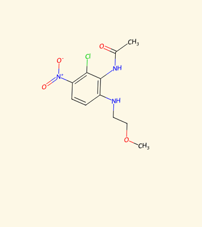 COCCNc1ccc([N+](=O)[O-])c(Cl)c1NC(C)=O